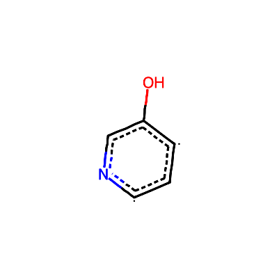 Oc1[c]c[c]nc1